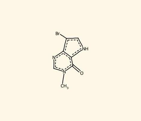 Cn1cnc2c(Br)c[nH]c2c1=O